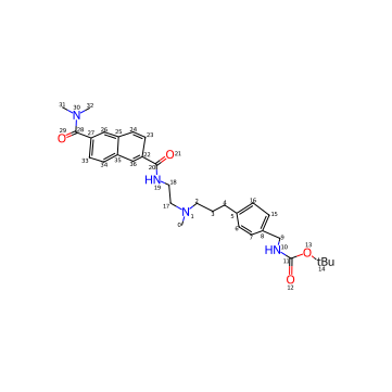 CN(CCCc1ccc(CNC(=O)OC(C)(C)C)cc1)CCNC(=O)c1ccc2cc(C(=O)N(C)C)ccc2c1